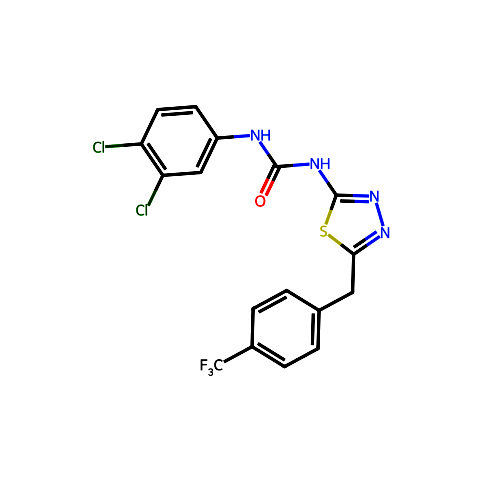 O=C(Nc1ccc(Cl)c(Cl)c1)Nc1nnc(Cc2ccc(C(F)(F)F)cc2)s1